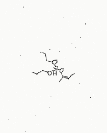 CC=C(C)O[SiH](OCCC)OCCC